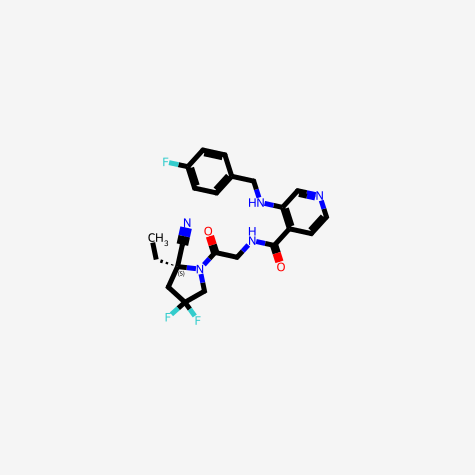 CC[C@@]1(C#N)CC(F)(F)CN1C(=O)CNC(=O)c1ccncc1NCc1ccc(F)cc1